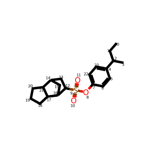 CCC(C)c1ccc(OS(=O)(=O)C2CC3CC2C2CCCC32)cc1